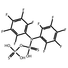 OP(O)(=S)OP(O)(=S)N(c1c(F)c(F)c(F)c(F)c1F)c1c(F)c(F)c(F)c(F)c1F